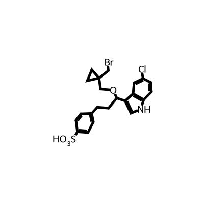 O=S(=O)(O)c1ccc(CCC(OCC2(CBr)CC2)c2c[nH]c3ccc(Cl)cc23)cc1